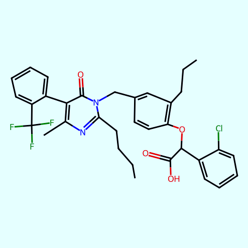 CCCCc1nc(C)c(-c2ccccc2C(F)(F)F)c(=O)n1Cc1ccc(OC(C(=O)O)c2ccccc2Cl)c(CCC)c1